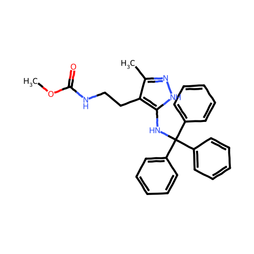 COC(=O)NCCc1c(C)n[nH]c1NC(c1ccccc1)(c1ccccc1)c1ccccc1